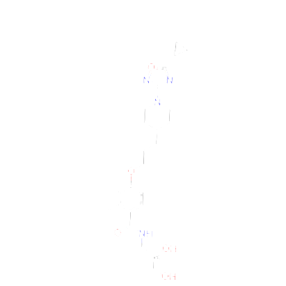 Cc1cc(OCCCC2CCN(c3noc(C4CC4)n3)CC2)ccc1C(=O)NC[C@H](O)CO